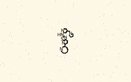 C1=C/C(c2ccc3nc(Nc4cc(CN5CCCC5)ccn4)sc3n2)=C\N=C/CCC\1